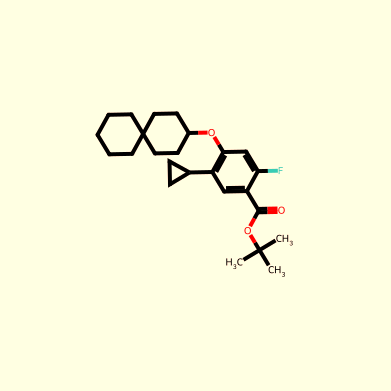 CC(C)(C)OC(=O)c1cc(C2CC2)c(OC2CCC3(CCCCC3)CC2)cc1F